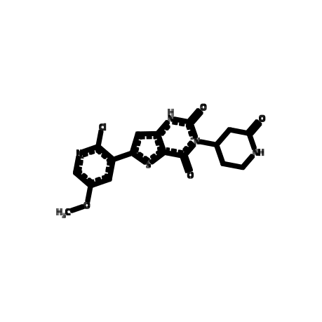 COc1cnc(Cl)c(-c2cc3[nH]c(=O)n(C4CCNC(=O)C4)c(=O)c3s2)c1